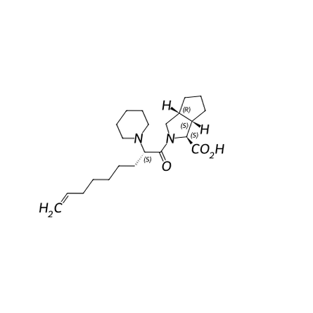 C=CCCCCC[C@@H](C(=O)N1C[C@@H]2CCC[C@@H]2[C@H]1C(=O)O)N1CCCCC1